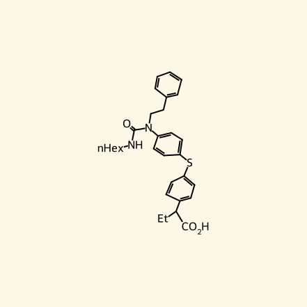 CCCCCCNC(=O)N(CCc1ccccc1)c1ccc(Sc2ccc(C(CC)C(=O)O)cc2)cc1